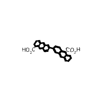 O=C(O)c1cccc2cc3cc(-c4ccc5c(C(=O)O)c6ccccc6cc5c4)ccc3cc12